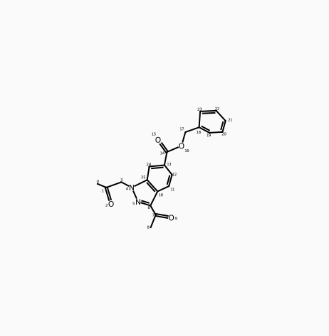 CC(=O)Cn1nc(C(C)=O)c2ccc(C(=O)OCc3ccccc3)cc21